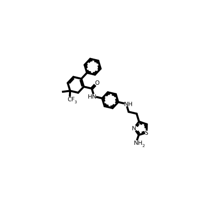 CC1(C(F)(F)F)C=CC(c2ccccc2)=C(C(=O)Nc2ccc(NCCc3csc(N)n3)cc2)C1